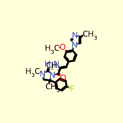 C=C1N(C)CC(C)(c2ccc(F)cc2)N1C(=O)/C(N)=C/c1ccc(-n2cnc(C)c2)c(OC)c1